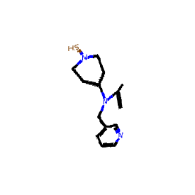 C=C(C)N(Cc1cccnc1)C1CCN(S)CC1